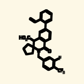 C=Cc1ccccc1-c1ccc2c(c1)C(C(=O)O)C1(CCCC1)N(Cc1ccc(C(F)(F)F)c(F)c1)C2=O